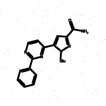 CC(C)(C)n1nc(C(N)=O)cc1-c1ccnc(-c2ccccc2)n1